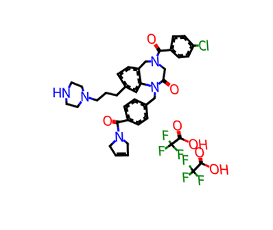 O=C(O)C(F)(F)F.O=C(O)C(F)(F)F.O=C(c1ccc(CN2C(=O)CN(C(=O)c3ccc(Cl)cc3)Cc3ccc(CCCN4CCNCC4)cc32)cc1)N1CC=CC1